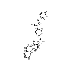 O=C(OCc1ccccc1)c1ccc(C2C[C@H]2C(=O)Nc2ccc3cnccc3c2F)cc1